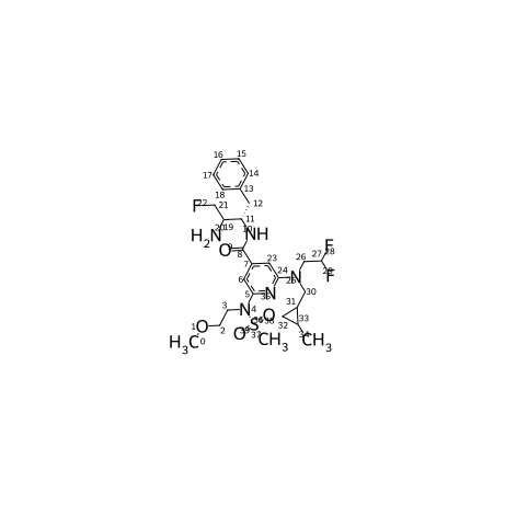 COCCN(c1cc(C(=O)N[C@@H](Cc2ccccc2)C(N)CF)cc(N(CC(F)F)CC2CC2C)n1)S(C)(=O)=O